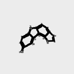 Clc1ccc2oc3ccc4ncoc4c3c2c1